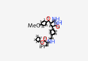 COc1ccc(C(=O)c2cc(-c3ccc(CCN[C@@H](CC(C)C)C(=O)OC4CCCC4)cc3)c(=O)[nH]c2N)cc1